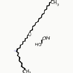 CCCCCCCC/C=C\CCCCCCCCOCCCCCCCCCCCCCCCC.OCCO